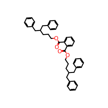 O=C(OCCCC(Cc1ccccc1)Cc1ccccc1)c1ccccc1C(=O)OCCCC(Cc1ccccc1)Cc1ccccc1